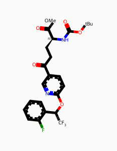 COC(=O)[C@H](CCC(=O)c1ccc(OC(c2ccccc2F)C(F)(F)F)nc1)NC(=O)OC(C)(C)C